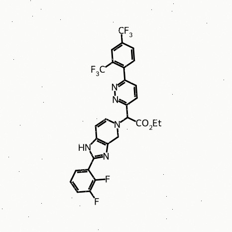 CCOC(=O)C(c1ccc(-c2ccc(C(F)(F)F)cc2C(F)(F)F)nn1)N1C=Cc2[nH]c(-c3cccc(F)c3F)nc2C1